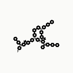 CC1(C)c2cc(-c3ccc(N(c4ccc(-c5ccc(-c6ccccc6)cc5)cc4)c4cccc(-c5cccc(-c6ccc(N(c7ccc(F)cc7)c7ccc(-c8ccc9c(c8)C(C)(C)c8cc(N(c%10ccc(F)cc%10)c%10ccc(-c%11ccccc%11)cc%10)ccc8-9)cc7)cc6)c5)c4)cc3)ccc2-c2ccc(N(c3ccccc3)c3ccc(-c4ccc(-c5ccccc5)cc4)cc3)cc21